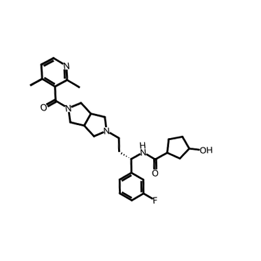 Cc1ccnc(C)c1C(=O)N1CC2CN(CC[C@H](NC(=O)C3CCC(O)C3)c3cccc(F)c3)CC2C1